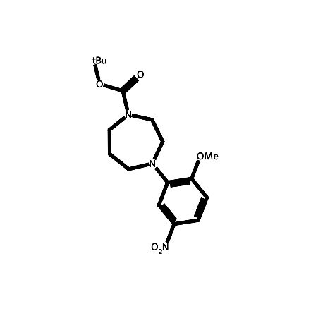 COc1ccc([N+](=O)[O-])cc1N1CCCN(C(=O)OC(C)(C)C)CC1